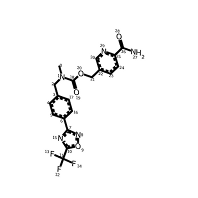 CN(Cc1ccc(-c2noc(C(F)(F)F)n2)cc1)C(=O)OCc1ccc(C(N)=O)nc1